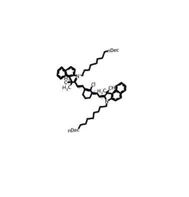 CCCCCCCCCCCCCCCCCCN1/C(=C/C=C2\CCCC(/C=C/C3=[N+](CCCCCCCCCCCCCCCCCC)c4ccc5ccccc5c4C3(C)C)=C2Cl)C(C)(C)c2c1ccc1ccccc21